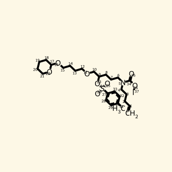 C=CCCCN(CCCC(COCCCCOC1CCCCO1)OS(=O)(=O)c1ccc(C)cc1)C(=O)OI